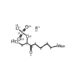 CCCCCCCCCCCCCC(=O)C(CO)OS(=O)(=O)[O-].[K+]